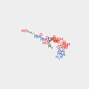 CC(C)(COP(=O)(O)OP(=O)(O)OC[C@H]1O[C@@H](n2cnc3c(N)ncnc32)[C@H](O)[C@@H]1OP(=O)(O)O)[C@@H](O)C(=O)NCCC(=O)NCCSCCCCO